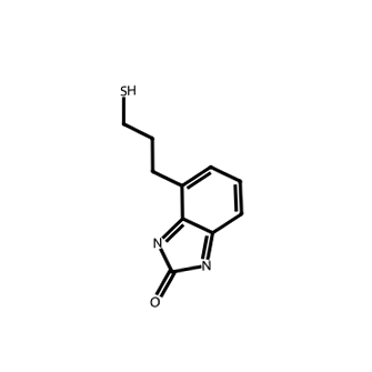 O=C1N=c2cccc(CCCS)c2=N1